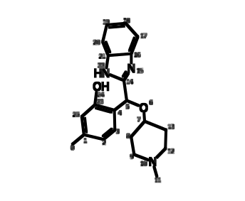 Cc1ccc(C(OC2CCN(C)CC2)c2nc3ccccc3[nH]2)c(O)c1